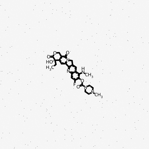 CC[C@@]1(O)C(=O)OCc2c1cc1n(c2=O)Cc2cc3c(NC)c(OC(=O)N4CCN(C)CC4)c(F)cc3nc2-1